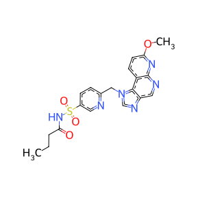 CCCC(=O)NS(=O)(=O)c1ccc(Cn2cnc3cnc4nc(OC)ccc4c32)nc1